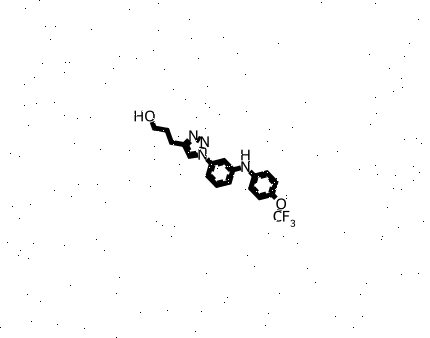 OCCCc1cn(-c2cccc(Nc3ccc(OC(F)(F)F)cc3)c2)nn1